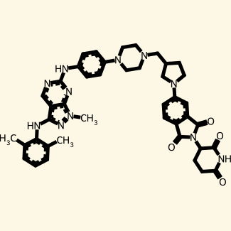 Cc1cccc(C)c1Nc1nn(C)c2nc(Nc3ccc(N4CCN(CC5CCN(c6ccc7c(c6)C(=O)N(C6CCC(=O)NC6=O)C7=O)C5)CC4)cc3)ncc12